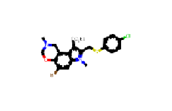 CCOC(=O)c1c(CSc2ccc(Cl)cc2)n(C)c2cc(Br)c3c(c12)CN(C)CO3